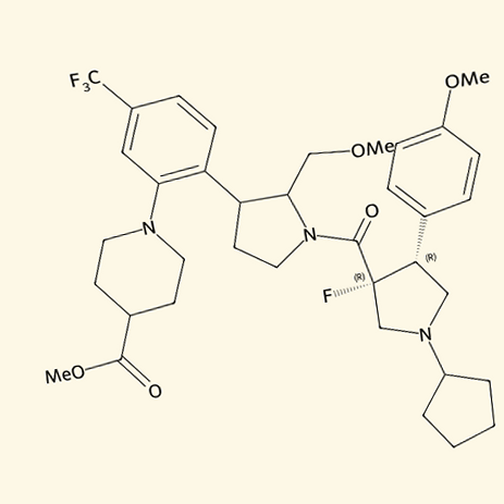 COCC1C(c2ccc(C(F)(F)F)cc2N2CCC(C(=O)OC)CC2)CCN1C(=O)[C@]1(F)CN(C2CCCC2)C[C@H]1c1ccc(OC)cc1